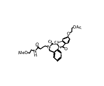 COCCNC(=O)CCN1Cc2ccccc2N(C(=O)c2ccc(OCCOC(C)=O)cc2Cl)CC1=O